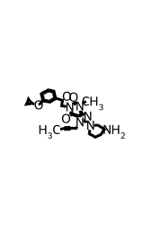 CC#CCn1c(N2CCC[C@@H](N)C2)nc2c1c(=O)n(CC(=O)c1cccc(OC3CC3)c1)c(=O)n2C